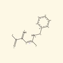 CC(=O)C(=N)/C=C(/C)NCc1ccccc1